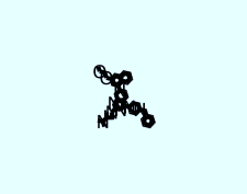 COCOc1cc(N2CCc3c(nc(N4CC(N(C)C)C4)nc3N3CCN(Cc4ccccc4)CC3)C2)c2ccccc2c1